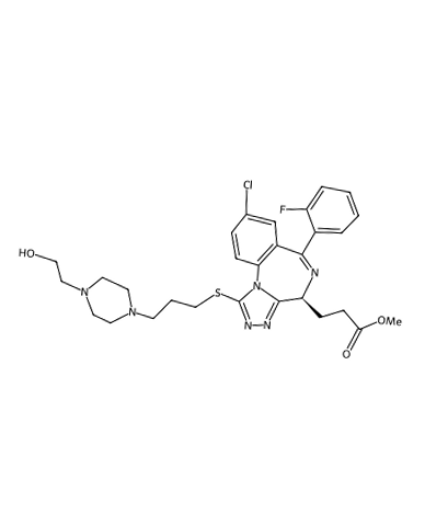 COC(=O)CC[C@@H]1N=C(c2ccccc2F)c2cc(Cl)ccc2-n2c(SCCCN3CCN(CCO)CC3)nnc21